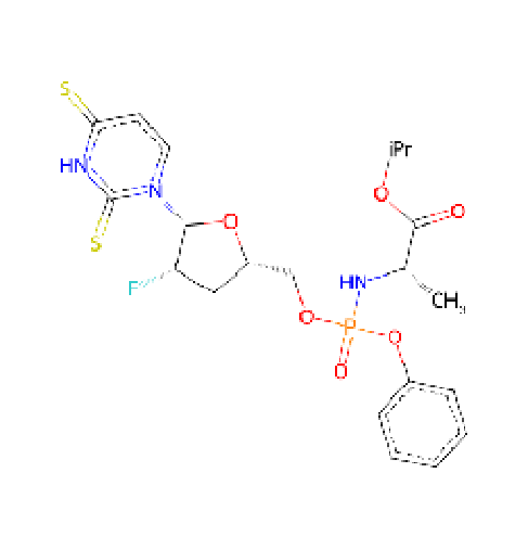 CC(C)OC(=O)[C@H](C)NP(=O)(OC[C@@H]1C[C@H](F)[C@H](n2ccc(=S)[nH]c2=S)O1)Oc1ccccc1